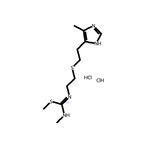 CN/C(=N/CCSCCc1[nH]cnc1C)SC.Cl.Cl